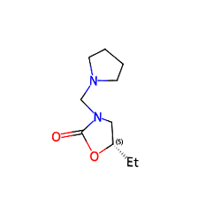 CC[C@H]1CN(CN2CCCC2)C(=O)O1